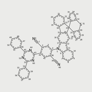 N#Cc1cc(-n2c3ccccc3c3cc4c(cc32)-c2ccccc2C42c3ccccc3Sc3ccccc32)c(C#N)cc1-c1nc(-c2ccccc2)nc(-c2ccccc2)n1